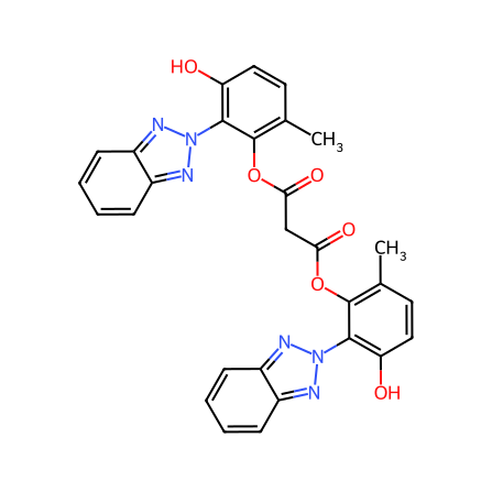 Cc1ccc(O)c(-n2nc3ccccc3n2)c1OC(=O)CC(=O)Oc1c(C)ccc(O)c1-n1nc2ccccc2n1